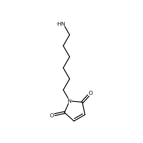 [NH]CCCCCCN1C(=O)C=CC1=O